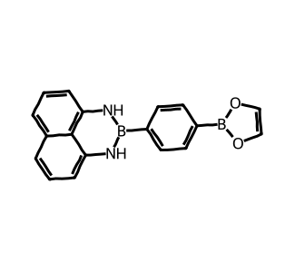 C1=COB(c2ccc(B3Nc4cccc5cccc(c45)N3)cc2)O1